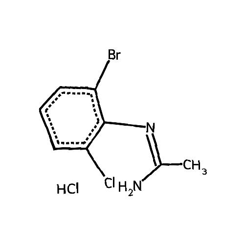 CC(N)=Nc1c(Cl)cccc1Br.Cl